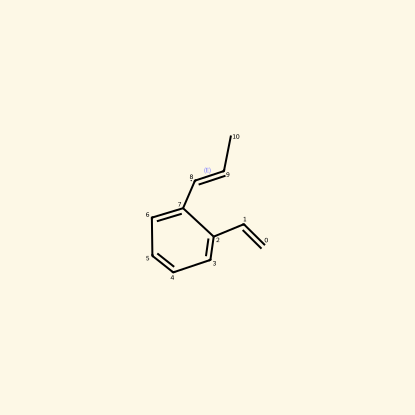 C=Cc1ccccc1/[C]=C/C